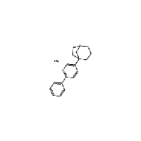 Br.c1ccc(-c2ccc(C34CCCN(CC3)C4)cn2)cc1